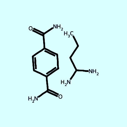 CCCC(N)N.NC(=O)c1ccc(C(N)=O)cc1